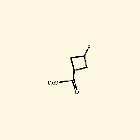 CCC1CC(C(=O)OC)C1